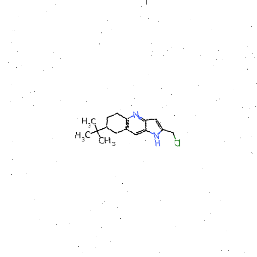 CC(C)(C)C1CCc2nc3cc(CCl)[nH]c3cc2C1